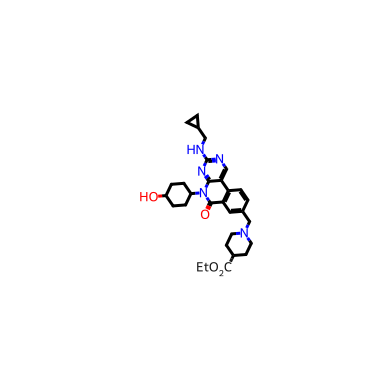 CCOC(=O)C1CCN(Cc2ccc3c(c2)c(=O)n(C2CCC(O)CC2)c2nc(NCC4CC4)ncc32)CC1